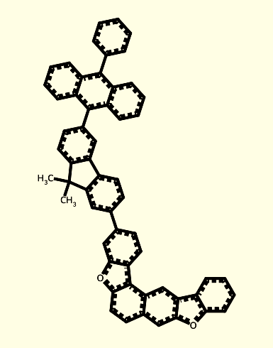 CC1(C)c2ccc(-c3c4ccccc4c(-c4ccccc4)c4ccccc34)cc2-c2ccc(-c3ccc4c(c3)oc3ccc5cc6oc7ccccc7c6cc5c34)cc21